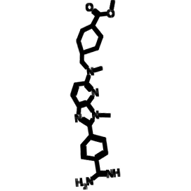 COC(=O)C1CCC(CN(C)c2ccc3nc(-c4ccc(C(=N)N)cc4)n(C)c3n2)CC1